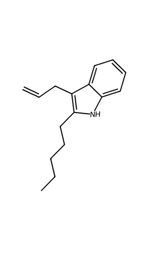 C=CCc1c(CCCCC)[nH]c2ccccc12